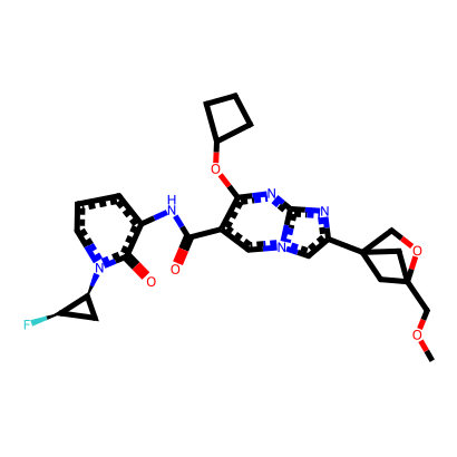 COCC12CC(c3cn4cc(C(=O)Nc5cccn([C@H]6C[C@H]6F)c5=O)c(OC5CCC5)nc4n3)(CO1)C2